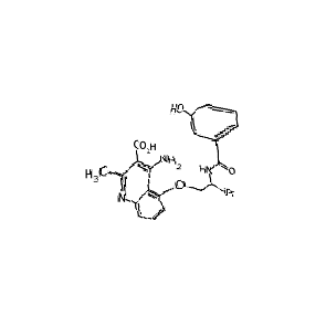 Cc1nc2cccc(OCC(NC(=O)c3cccc(O)c3)C(C)C)c2c(N)c1C(=O)O